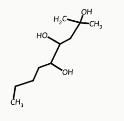 CCCCC(O)C(O)CC(C)(C)O